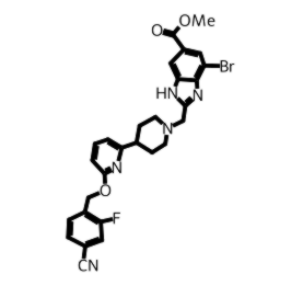 COC(=O)c1cc(Br)c2nc(CN3CCC(c4cccc(OCc5ccc(C#N)cc5F)n4)CC3)[nH]c2c1